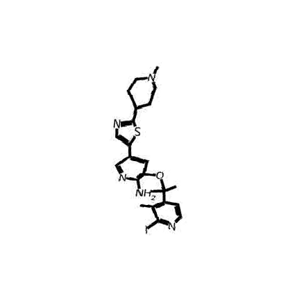 Cc1c(C(C)(C)Oc2cc(-c3cnc(C4CCN(C)CC4)s3)cnc2N)ccnc1I